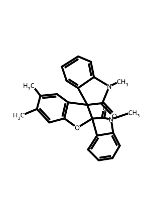 Cc1cc2c(cc1C)C1(C(=O)N(C)c3ccccc31)C1(O2)C(=O)N(C)c2ccccc21